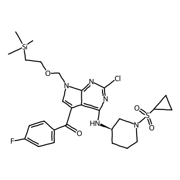 C[Si](C)(C)CCOCn1cc(C(=O)c2ccc(F)cc2)c2c(N[C@@H]3CCCN(S(=O)(=O)C4CC4)C3)nc(Cl)nc21